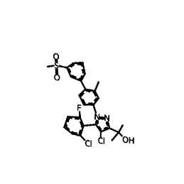 Cc1cc(-n2nc(C(C)(C)O)c(Cl)c2-c2c(F)cccc2Cl)ccc1-c1cccc(S(C)(=O)=O)c1